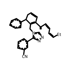 C=C(/C=C\C=C/CC)C1=C(Cn2cnnc2-c2cccc(C#N)c2)C(c2ccccc2)CC=C1